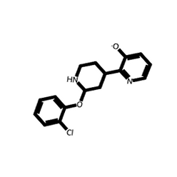 [O]c1cccnc1C1CCNC(Oc2ccccc2Cl)C1